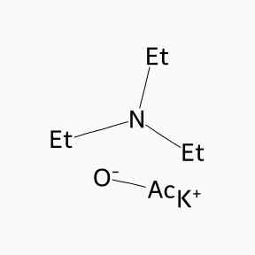 CC(=O)[O-].CCN(CC)CC.[K+]